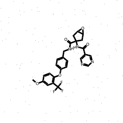 COc1ccc(Oc2ccc(CNC(=O)C3(NC(=O)c4cncnc4)CC4OC4C3)cc2)c(C(F)(F)F)c1